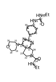 CCNC(=O)Nc1ccc(-c2nc3c(c(N4CCOCC4)n2)CCN(C(=O)NCC)C3)cc1